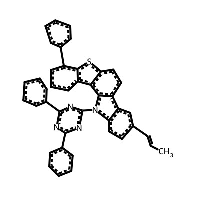 C/C=C/c1ccc2c(c1)c1ccc3sc4c(-c5ccccc5)cccc4c3c1n2-c1nc(-c2ccccc2)nc(-c2ccccc2)n1